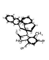 Cc1c(Br)cc(Br)c2c1C(C1(Cc3ccc4ccccc4c3)C=Cc3ccccc31)C(=O)N2